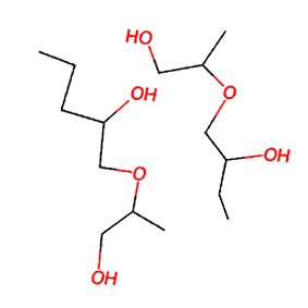 CCC(O)COC(C)CO.CCCC(O)COC(C)CO